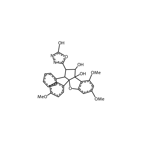 COc1ccc(C23Oc4cc(OC)cc(OC)c4C2(O)C(O)C(c2nnc(O)o2)C3c2ccccc2)cc1